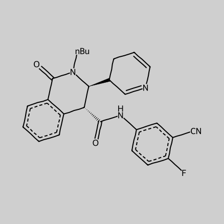 CCCCN1C(=O)c2ccccc2[C@@H](C(=O)Nc2ccc(F)c(C#N)c2)[C@@H]1C1C=NC=CC1